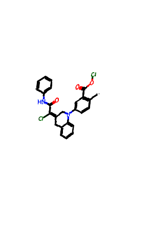 [CH2]c1ccc(N2CC(=C(Cl)C(=O)Nc3ccccc3)Cc3ccccc32)cc1C(=O)OCl